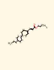 CCCOC(=O)C=C[C@H]1CC[C@H]([C@H]2CC[C@H](CCC)CC2)CC1